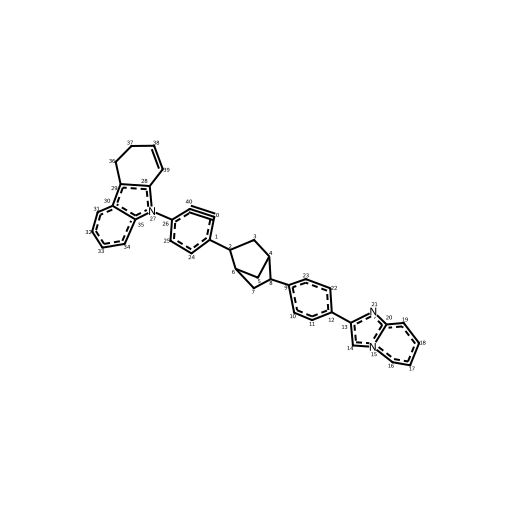 c1c(C2CC3CC2CC3c2ccc(-c3cn4ccccc4n3)cc2)ccc(-n2c3c(c4ccccc42)CCC=C3)c#1